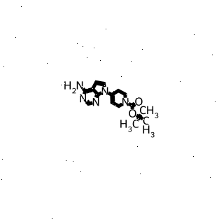 CC(C)(C)OC(=O)N1CC=C(n2ccc3c(N)ncnc32)CC1